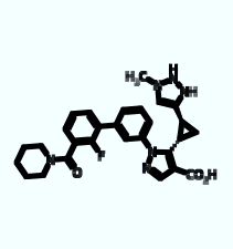 CN1C=C([C@H]2C[C@@H]2c2c(C(=O)O)cnn2-c2cccc(-c3cccc(C(=O)N4CCCCC4)c3F)c2)NN1